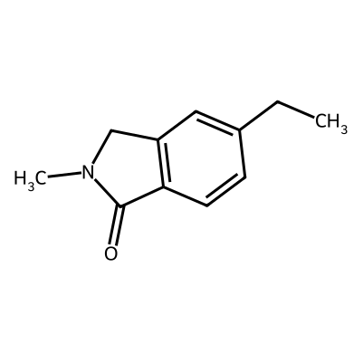 CCc1ccc2c(c1)CN(C)C2=O